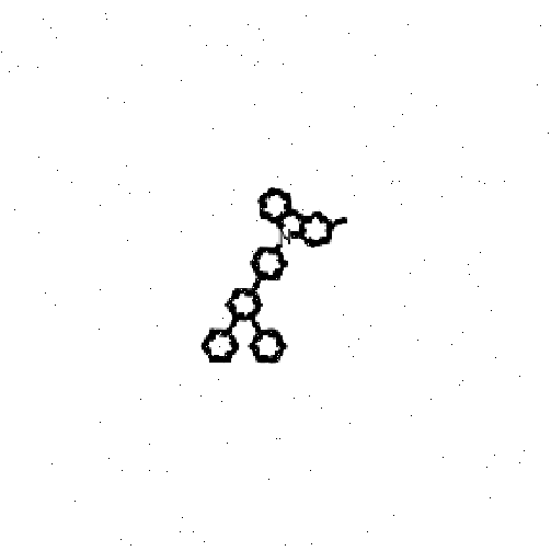 Cc1ccc2c(c1)c1ccccc1n2-c1ccc(-c2ccc(-c3ccccc3)c(-c3ccccc3)c2)cc1